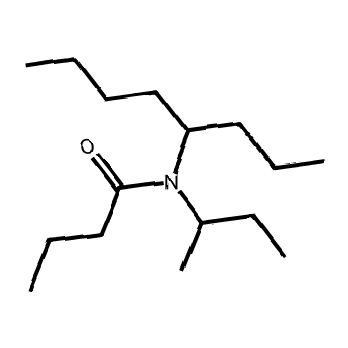 CCCCC(CCC)N(C(=O)CCC)C(C)CC